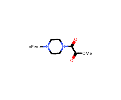 CCCCCN1CCN(C(=O)C(=O)OC)CC1